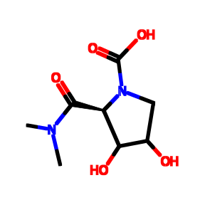 CN(C)C(=O)[C@@H]1C(O)C(O)CN1C(=O)O